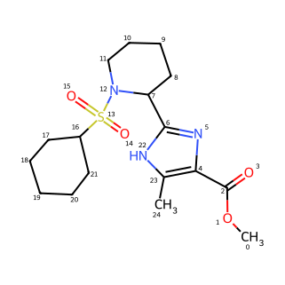 COC(=O)c1nc(C2CCCCN2S(=O)(=O)C2CCCCC2)[nH]c1C